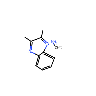 Cc1nc2ccccc2nc1C.NC=O